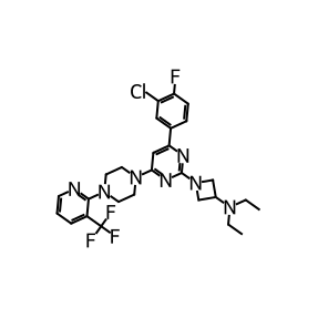 CCN(CC)C1CN(c2nc(-c3ccc(F)c(Cl)c3)cc(N3CCN(c4ncccc4C(F)(F)F)CC3)n2)C1